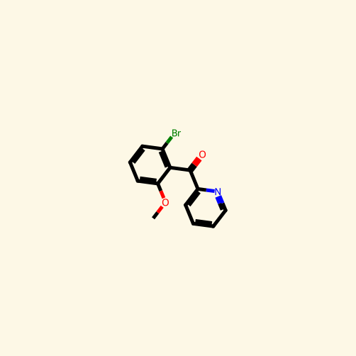 COc1cccc(Br)c1C(=O)c1ccccn1